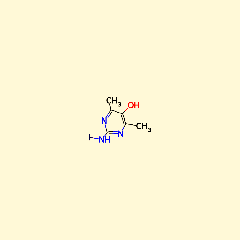 Cc1nc(NI)nc(C)c1O